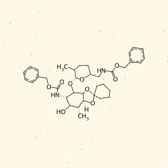 CC1CCC(CNC(=O)OCc2ccccc2)O[C@@H]1OC1C2OC3(CCCCC3)O[C@H]2[C@H](C)C(O)[C@@H]1NC(=O)OCc1ccccc1